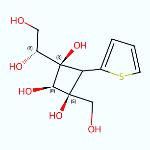 OC[C@@H](O)[C@]1(O)C(c2cccs2)[C@](O)(CO)[C@H]1O